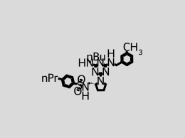 CCCCNc1nc(NCc2cccc(C)c2)nc(N2CCC[C@@H]2CNS(=O)(=O)c2ccc(CCC)cc2)n1